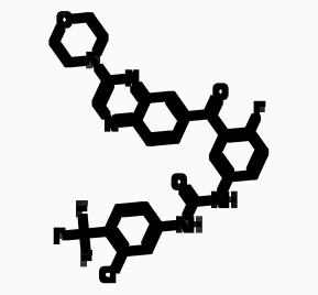 O=C(Nc1ccc(C(F)(F)F)c(Cl)c1)Nc1ccc(F)c(C(=O)c2ccc3ncc(N4CCOCC4)nc3c2)c1